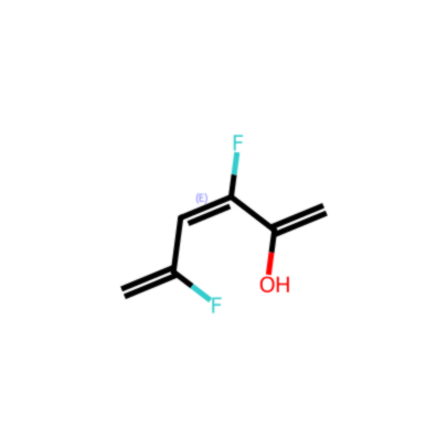 C=C(F)/C=C(/F)C(=C)O